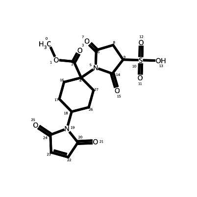 COC(=O)C1(N2C(=O)CC(S(=O)(=O)O)C2=O)CCC(N2C(=O)C=CC2=O)CC1